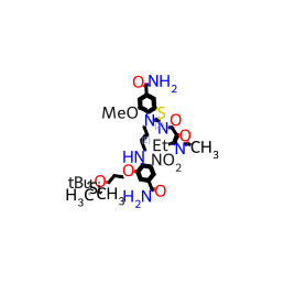 CCc1nc(C)oc1C(=O)/N=c1\sc2cc(C(N)=O)cc(OC)c2n1C/C=C/CNc1c(OCCCO[Si](C)(C)C(C)(C)C)cc(C(N)=O)cc1[N+](=O)[O-]